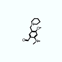 COc1cc(N(C)C)c(C=O)cc1CN1CCCCC1